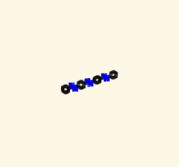 c1ccc(/N=N/c2ccc(/N=N/c3ccc(/N=N/c4ccccc4)cc3)cc2)cc1